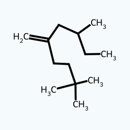 C=C(CCC(C)(C)C)CC(C)CC